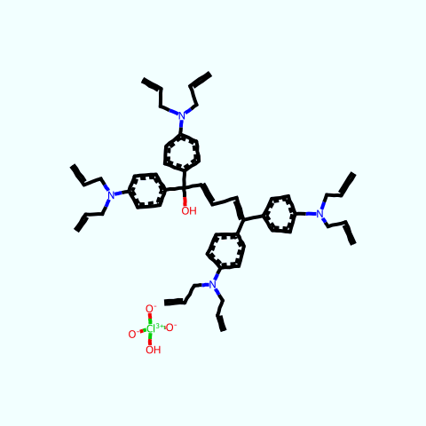 C=CCN(CC=C)c1ccc(C(=CC=CC(O)(c2ccc(N(CC=C)CC=C)cc2)c2ccc(N(CC=C)CC=C)cc2)c2ccc(N(CC=C)CC=C)cc2)cc1.[O-][Cl+3]([O-])([O-])O